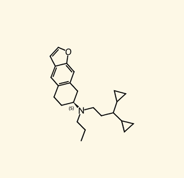 CCCN(CCC(C1CC1)C1CC1)[C@H]1CCc2cc3ccoc3cc2C1